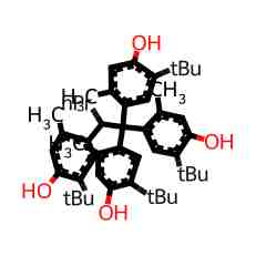 CCCC(c1cc(C(C)(C)C)c(O)cc1C)C(c1cc(C(C)(C)C)c(O)cc1C)(c1cc(C(C)(C)C)c(O)cc1C)c1cc(C(C)(C)C)c(O)cc1C